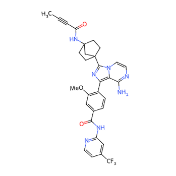 CC#CC(=O)NC12CCC(c3nc(-c4ccc(C(=O)Nc5cc(C(F)(F)F)ccn5)cc4OC)c4c(N)nccn34)(CC1)C2